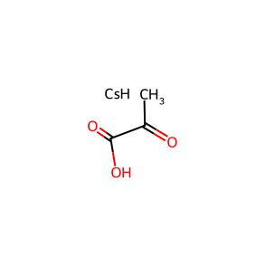 CC(=O)C(=O)O.[CsH]